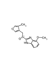 COc1cccc2[nH]c([S+]([O-])Cc3cocc3C)nc12